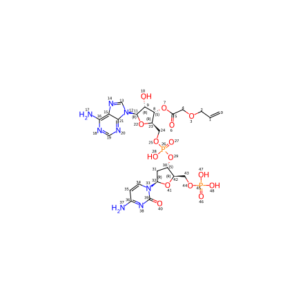 C=CCOCC(=O)O[C@H]1[C@@H](O)[C@H](n2cnc3c(N)ncnc32)O[C@@H]1COP(=O)(O)O[C@H]1C[C@H](n2ccc(N)nc2=O)O[C@@H]1COP(=O)(O)O